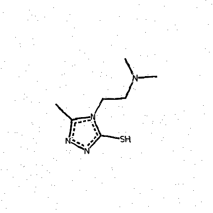 Cc1nnc(S)n1CCN(C)C